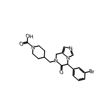 O=C(O)N1CCC(CN2Cc3cncn3C(c3cccc(Br)c3)C2=O)CC1